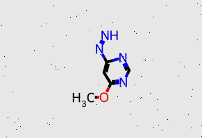 COc1cc(N=N)ncn1